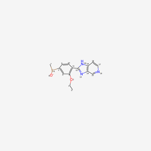 CCOc1cc([S+](C)[O-])ccc1-c1nc2cnccc2[nH]1